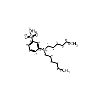 CCCCCCN(CCCCCC)c1cccc(S(=O)(=O)O)c1